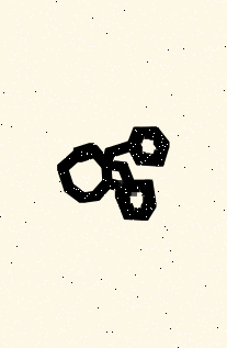 O=S(=O)(O)C1CCCCC#CC1(Cc1ccccc1)Cc1ccccc1